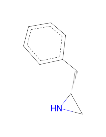 c1ccc(C[C@@H]2CN2)cc1